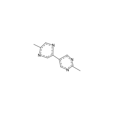 Cc1cnc(-c2cnc(C)nc2)cn1